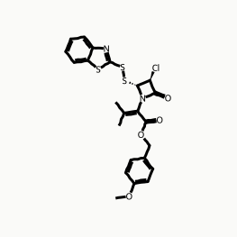 COc1ccc(COC(=O)C(=C(C)C)N2C(=O)[C@H](Cl)[C@H]2SSc2nc3ccccc3s2)cc1